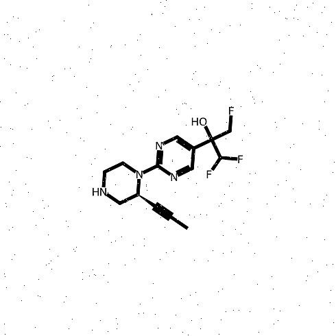 CC#C[C@H]1CNCCN1c1ncc(C(O)(CF)C(F)F)cn1